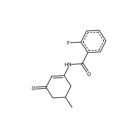 CC1CC(=O)C=C(NC(=O)c2ccccc2F)C1